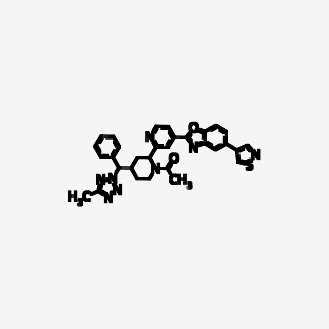 CC(=O)N1CCC(C(c2ccccc2)n2nnc(C)n2)CC1c1cc(-c2nc3cc(-c4cnsc4)ccc3o2)ccn1